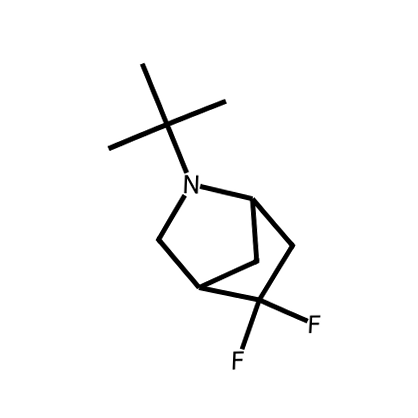 CC(C)(C)N1CC2CC1CC2(F)F